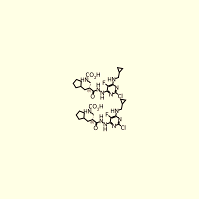 O=C(O)NC[C@@H](CC1CCCC1)C(=O)NNc1nc(Cl)nc(NCC2CC2)c1F.O=C(O)NC[C@@H](CC1CCCC1)C(=O)NNc1nc(Cl)nc(NCC2CC2)c1F